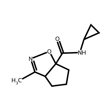 CC1=NOC2(C(=O)NC3CC3)CCCC12